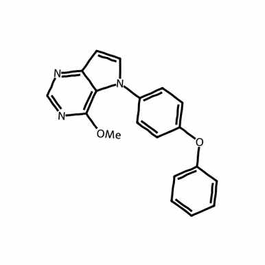 COc1ncnc2ccn(-c3ccc(Oc4ccccc4)cc3)c12